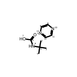 CC(C)(C)NC(=O)O.c1cnccn1